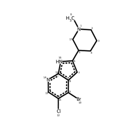 CN1CCCC(c2cc3c(Br)c(Cl)cnc3[nH]2)C1